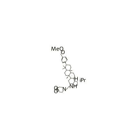 COOCc1ccc([C@H]2CC[C@@]3(C)C(CC[C@]4(C)C3CC[C@@H]3C5[C@H](C(C)C)CC[C@]5(NCCN5CCS(=O)(=O)CC5)CC[C@]34C)C2(C)C)cc1